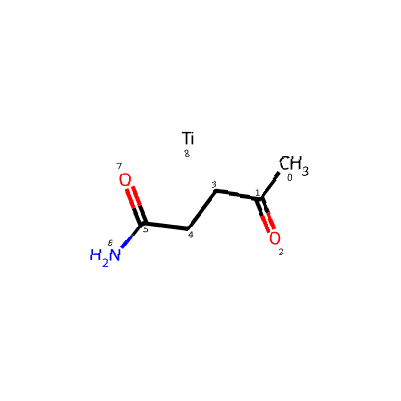 CC(=O)CCC(N)=O.[Ti]